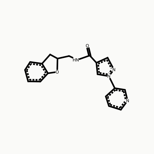 O=C(NCC1Cc2ccccc2O1)c1cnn(-c2cccnc2)c1